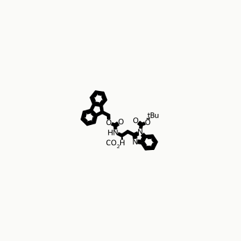 CC(C)(C)OC(=O)n1c(C[C@H](NC(=O)OCC2c3ccccc3-c3ccccc32)C(=O)O)nc2ccccc21